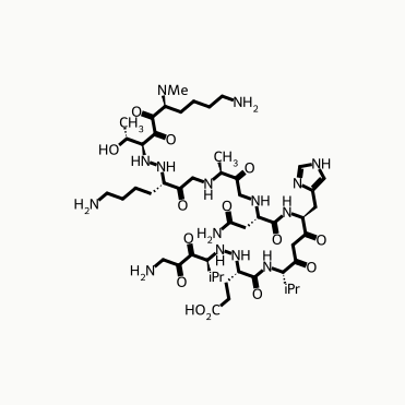 CN[C@@H](CCCCN)C(=O)C(=O)[C@@H](NN[C@@H](CCCCN)C(=O)CN[C@@H](C)C(=O)CN[C@@H](CC(N)=O)C(=O)N[C@@H](Cc1c[nH]cn1)C(=O)CC(=O)[C@@H](NC(=O)[C@H](CCC(=O)O)NN[C@H](C(=O)C(=O)CN)C(C)C)C(C)C)[C@@H](C)O